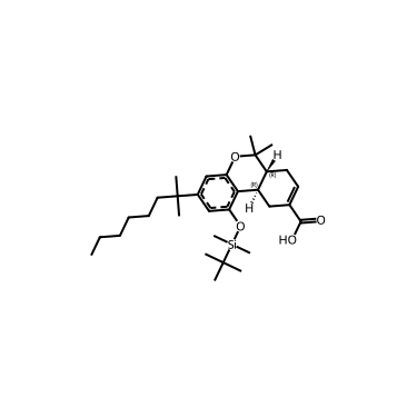 CCCCCCC(C)(C)c1cc2c(c(O[Si](C)(C)C(C)(C)C)c1)[C@@H]1CC(C(=O)O)=CC[C@H]1C(C)(C)O2